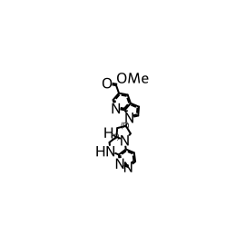 COC(=O)c1cnc2c(ccn2[C@@H]2C[C@H]3CNc4nnccc4N3C2)c1